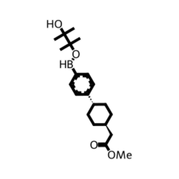 COC(=O)C[C@H]1CC[C@H](c2ccc(BOC(C)(C)C(C)(C)O)cc2)CC1